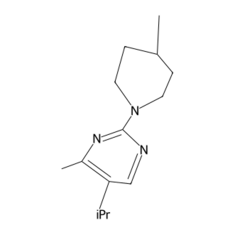 Cc1nc(N2CCC(C)CC2)ncc1C(C)C